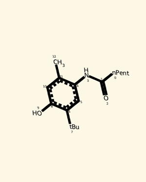 CCCCCC(=O)Nc1cc(C(C)(C)C)c(O)cc1C